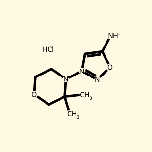 CC1(C)COCCN1[n+]1cc([NH-])on1.Cl